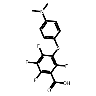 CN(C)c1ccc(Sc2c(F)c(F)c(F)c(C(=O)O)c2F)cc1